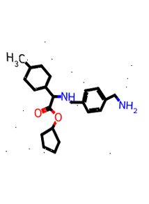 CC1CCC(C(NCc2ccc(CN)cc2)C(=O)OC2CCCC2)CC1